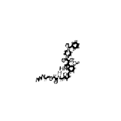 COc1ccc(-c2ccc(CNC(=O)COCCN=[N+]=[N-])o2)c2[nH]cc(C(=O)C(=O)N3CCN(C(=O)c4ccccc4)CC3)c12